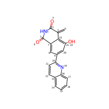 C=C1C(=O)NC(=O)c2cc(-c3ccc4ccccc4n3)cc(O)c21